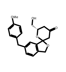 COc1ccc(Cc2ccc3c(c2)C2(CC(=O)C[C@@H](CO)O2)OC3)cc1